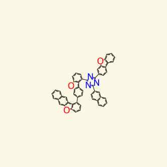 c1ccc2cc(-c3nc(-c4ccc5c(c4)oc4ccccc45)nc(-c4cccc5oc6cc(-c7cccc8oc9cc%10ccccc%10cc9c78)ccc6c45)n3)ccc2c1